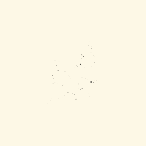 CC(C)(C)CCN(c1cccc2c1CN(C1CCC(=O)NC1=O)C2=O)C1CCC(N)CC1